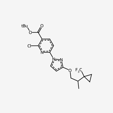 CC(COc1ccn(-c2ccc(C(=O)OC(C)(C)C)c(Cl)n2)n1)C1(C(F)(F)F)CC1